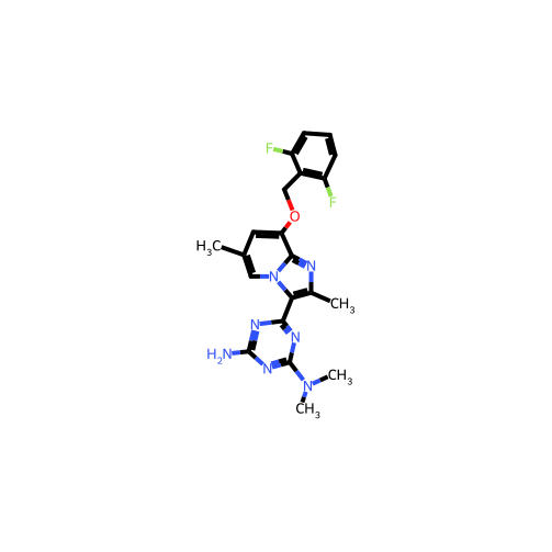 Cc1cc(OCc2c(F)cccc2F)c2nc(C)c(-c3nc(N)nc(N(C)C)n3)n2c1